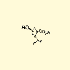 O=C(O)N1C[C@H](O)C[C@H]1C(F)F